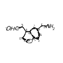 NCc1ccc2c(c1)C(C[C]=O)CO2